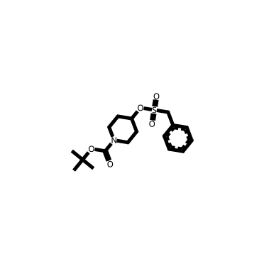 CC(C)(C)OC(=O)N1CCC(OS(=O)(=O)Cc2ccccc2)CC1